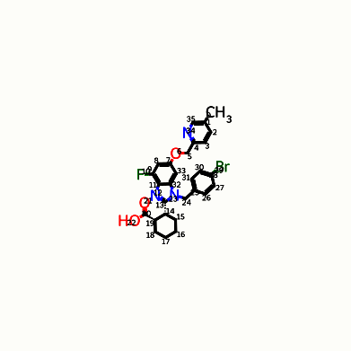 Cc1ccc(COc2cc(F)c3nc([C@@H]4CCCC[C@H]4C(=O)O)n(Cc4ccc(Br)cc4)c3c2)nc1